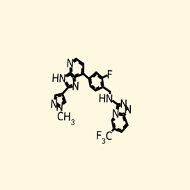 Cn1cc(-c2nc3c(-c4ccc(CNc5nnc6ccc(C(F)(F)F)cn56)c(F)c4)ccnc3[nH]2)cn1